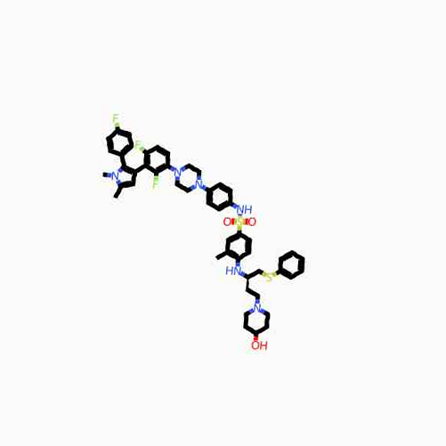 Cc1cc(S(=O)(=O)Nc2ccc(N3CCN(c4ccc(F)c(-c5cc(C)n(C)c5-c5ccc(F)cc5)c4F)CC3)cc2)ccc1N[C@H](CCN1CCC(O)CC1)CSc1ccccc1